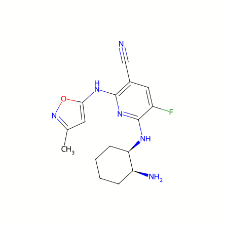 Cc1cc(Nc2nc(N[C@@H]3CCCC[C@@H]3N)c(F)cc2C#N)on1